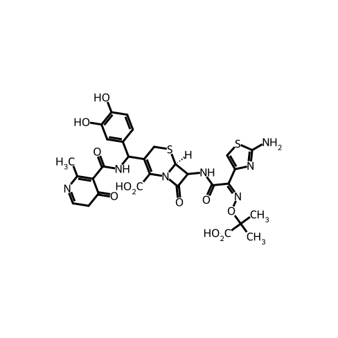 CC1=C(C(=O)NC(C2=C(C(=O)O)N3C(=O)C(NC(=O)/C(=N\OC(C)(C)C(=O)O)c4csc(N)n4)[C@@H]3SC2)c2ccc(O)c(O)c2)C(=O)CC=N1